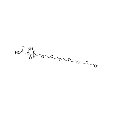 COCCOCCOCCOCCOCCOCCOCCNC(=O)[C@@H](N)CC(=O)O